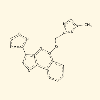 Cn1cnc(COc2nn3c(-c4ccon4)nnc3c3ccccc23)n1